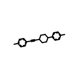 Cc1ccc(C#CC2CCC(c3ccc(C)cc3)CC2)cc1